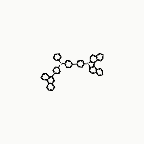 c1ccc(N(c2ccc(-c3ccc(-n4c5ccc6ccccc6c5c5c6ccccc6ccc54)cc3)cc2)c2ccc(-c3cc4ccccc4c4ccccc34)cc2)cc1